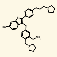 NCc1cc(Cc2c(-c3ccc(OCCN4CCCC4)cc3)sc3cc(O)ccc23)ccc1CN1CCCC1